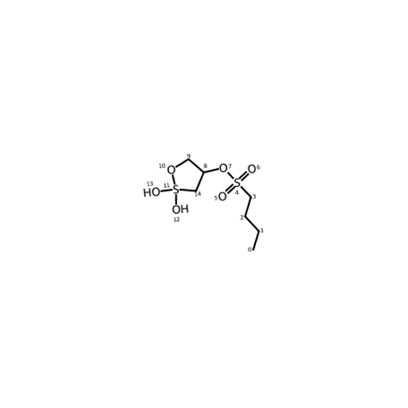 CCCCS(=O)(=O)OC1COS(O)(O)C1